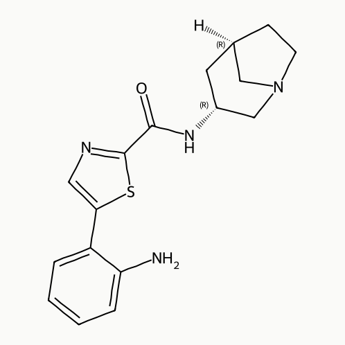 Nc1ccccc1-c1cnc(C(=O)N[C@@H]2C[C@H]3CCN(C3)C2)s1